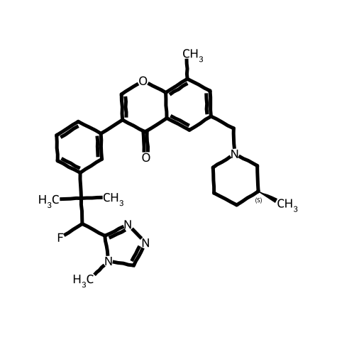 Cc1cc(CN2CCC[C@H](C)C2)cc2c(=O)c(-c3cccc(C(C)(C)C(F)c4nncn4C)c3)coc12